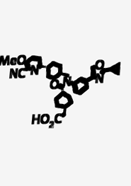 COc1ccc([C@H]2CC[C@H](CN(c3cccc(-c4coc(C5CC5)n4)c3)C(=O)[C@H]3CC[C@H](CC(=O)O)CC3)CC2)nc1C#N